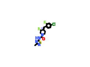 Cc1nsc(NC(=O)N2CC/C(=C\c3ccc(Cl)cc3F)C(F)C2)n1